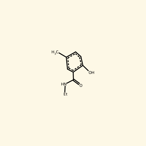 CCNC(=O)c1cc(C)ccc1O